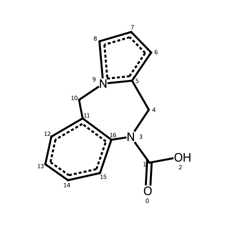 O=C(O)N1Cc2cccn2Cc2ccccc21